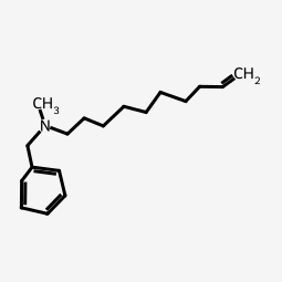 C=CCCCCCCCCN(C)Cc1ccccc1